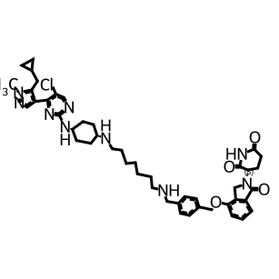 Cn1ncc(-c2nc(N[C@H]3CC[C@H](NCCCCCCCNCc4ccc(COc5cccc6c5CN([C@H]5CCC(=O)NC5=O)C6=O)cc4)CC3)ncc2Cl)c1CC1CC1